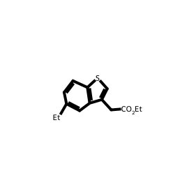 CCOC(=O)Cc1csc2ccc(CC)cc12